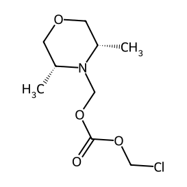 C[C@@H]1COC[C@H](C)N1COC(=O)OCCl